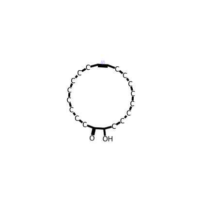 O=C1CCCCCCCC/C=C\CCCCCCCCC1O